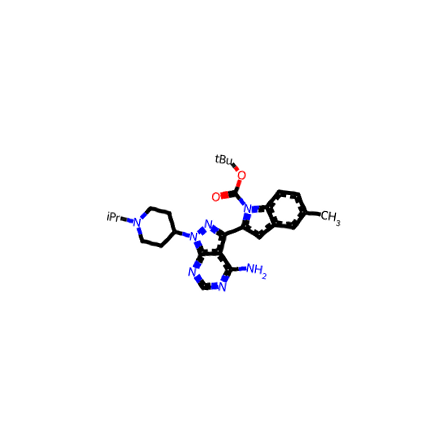 Cc1ccc2c(c1)cc(-c1nn(C3CCN(C(C)C)CC3)c3ncnc(N)c13)n2C(=O)OC(C)(C)C